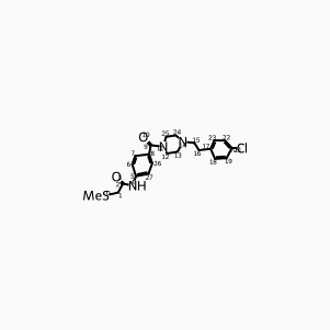 CSCC(=O)Nc1ccc(C(=O)N2CCN(CCc3ccc(Cl)cc3)CC2)cc1